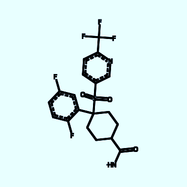 [NH]C(=O)C1CCC(c2cc(F)ccc2F)(S(=O)(=O)c2ccc(C(F)(F)F)nc2)CC1